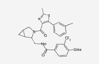 COc1ccc(C(=O)NCC2C3CC3CN2C(=O)c2nc(C)sc2-c2cccc(C)c2)cc1C(F)(F)F